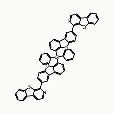 c1ccc([Si](c2ccccc2)(c2cccc3c2oc2ccc(-c4nccc5c4oc4ccccc45)cc23)c2cccc3c2oc2ccc(-c4nccc5c4sc4ccccc45)cc23)cc1